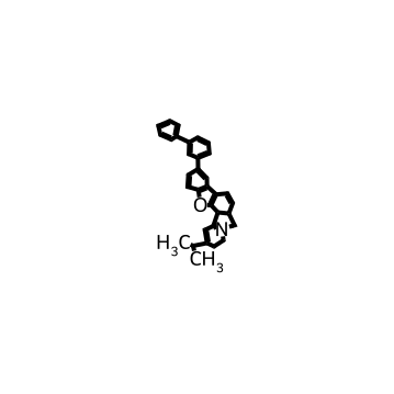 CC(C)C1=CC2=[N+](CC1)CC1C=Cc3c(oc4ccc(-c5cccc(-c6ccccc6)c5)cc34)C21